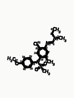 CCN(C)C=Nc1cc(C)c(N(c2ccc(OC)cc2)S(C)(=O)=O)cc1Cl